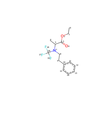 CCOC(=O)C(C)N(CCc1ccccc1)C(F)(F)F